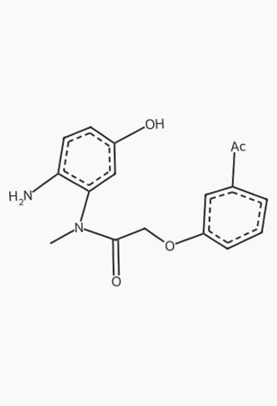 CC(=O)c1cccc(OCC(=O)N(C)c2cc(O)ccc2N)c1